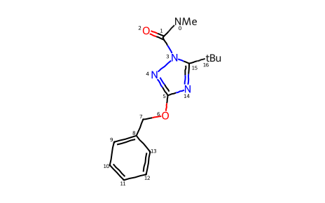 CNC(=O)n1nc(OCc2ccccc2)nc1C(C)(C)C